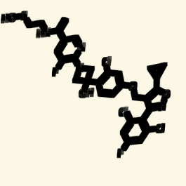 C=C(NCCSO)c1cnc(N2CC(O)(c3ccc(OCc4c(-c5c(Cl)cc(F)cc5Cl)noc4C4CC4)cc3Cl)C2)c(F)c1